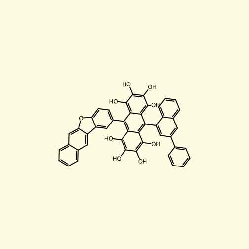 Oc1c(O)c(O)c2c(-c3cc(-c4ccccc4)cc4ccccc34)c3c(O)c(O)c(O)c(O)c3c(-c3ccc4oc5cc6ccccc6cc5c4c3)c2c1O